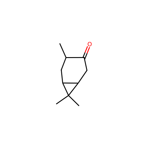 CC1CC2C(CC1=O)C2(C)C